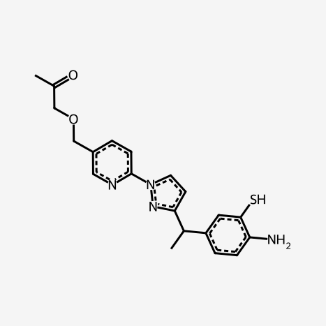 CC(=O)COCc1ccc(-n2ccc(C(C)c3ccc(N)c(S)c3)n2)nc1